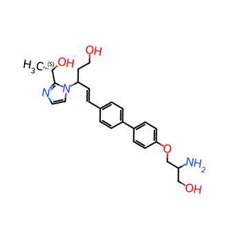 C[C@H](O)c1nccn1C(C=Cc1ccc(-c2ccc(OCC(N)CO)cc2)cc1)CCO